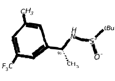 Cc1cc([C@@H](C)N[S+]([O-])C(C)(C)C)cc(C(F)(F)F)c1